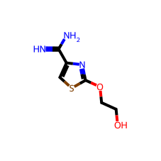 N=C(N)c1csc(OCCO)n1